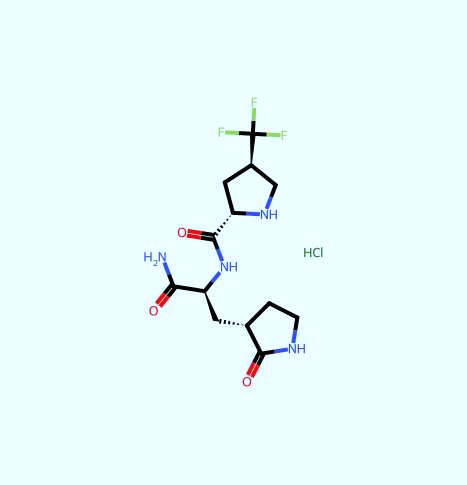 Cl.NC(=O)[C@H](C[C@@H]1CCNC1=O)NC(=O)[C@@H]1C[C@@H](C(F)(F)F)CN1